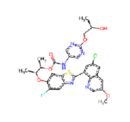 COc1cnc2c(-c3nc4cc(F)c(O[C@@H](C)[C@@H](C)OC(=O)Nc5cnc(OC[C@@H](C)O)nc5)cc4s3)cc(Cl)cc2c1